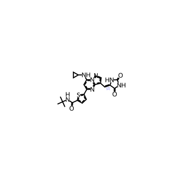 CC(C)(C)NC(=O)c1ccc(-c2cc(NC3CC3)n3ncc(/C=C4\NC(=O)NC4=O)c3n2)s1